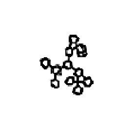 c1ccc(-c2nc(-c3ccccc3)nc(-c3cc(-c4ccc5c(c4)C(c4ccccc4)(c4ccccc4)c4ccccc4-5)cc(-c4ccc5c(c4)C4(c6ccccc6-5)C5CC6CC(C5)CC4C6)c3)n2)cc1